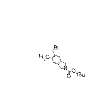 Cc1cc2c(cc1CBr)CN(C(=O)OC(C)(C)C)C2